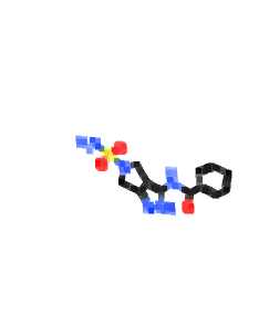 NS(=O)(=O)N1Cc2n[nH]c(NC(=O)c3ccccc3)c2C1